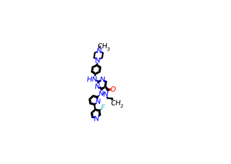 C=CCn1c(=O)c2cnc(Nc3ccc(N4CCN(C)CC4)cc3)nc2n1-c1cccc(-c2ccncc2F)n1